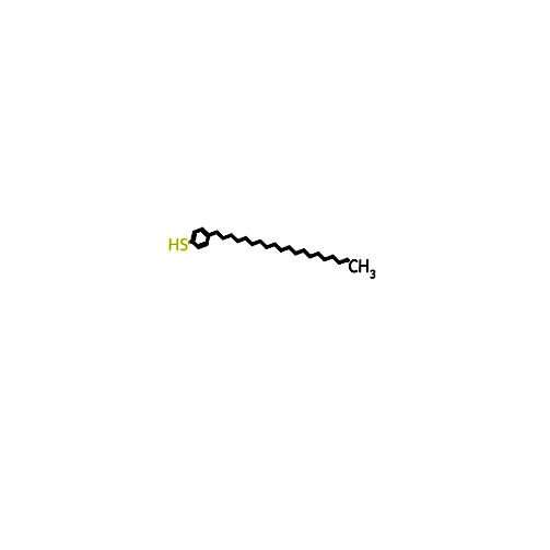 CCCCCCCCCCCCCCCCCCCCc1ccc(S)cc1